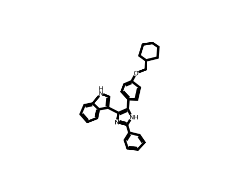 c1ccc(-c2nc(-c3c[nH]c4ccccc34)c(-c3ccc(OCC4CCCCC4)cc3)[nH]2)cc1